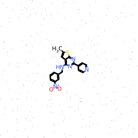 Cc1cc2c(NCc3cccc([N+](=O)[O-])c3)nc(-c3ccncc3)nc2s1